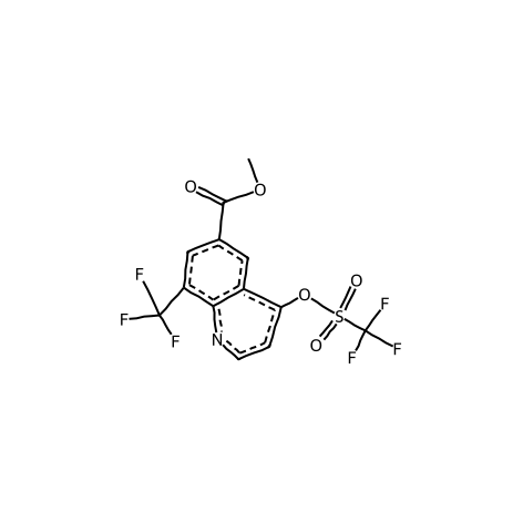 COC(=O)c1cc(C(F)(F)F)c2nccc(OS(=O)(=O)C(F)(F)F)c2c1